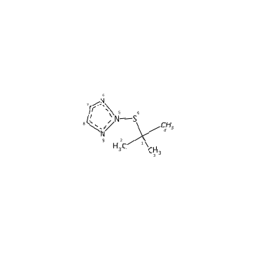 CC(C)(C)Sn1nccn1